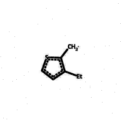 [CH2]c1sccc1CC